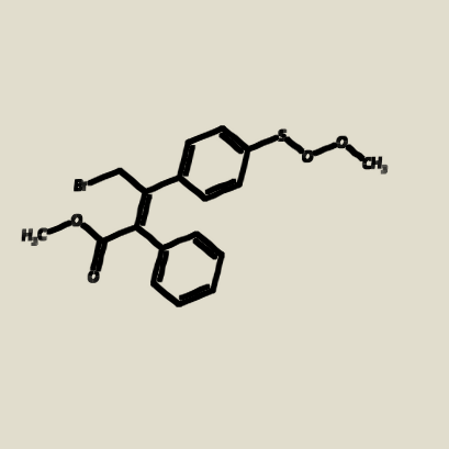 COOSc1ccc(/C(CBr)=C(/C(=O)OC)c2ccccc2)cc1